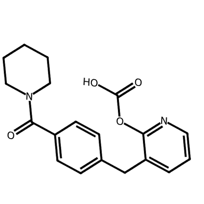 O=C(O)Oc1ncccc1Cc1ccc(C(=O)N2CCCCC2)cc1